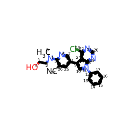 CN(CCO)c1ncc(-c2cn(-c3ccccc3)c3ncnc(Cl)c23)cc1C#N